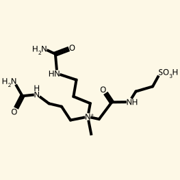 C[N+](CCCNC(N)=O)(CCCNC(N)=O)CC(=O)NCCS(=O)(=O)O